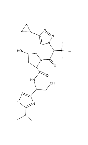 CC(C)c1nc(C(CO)NC(=O)C2CC(O)CN2C(=O)[C@@H](n2cc(C3CC3)nn2)C(C)(C)C)cs1